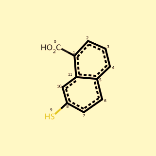 O=C(O)c1cccc2ccc(S)cc12